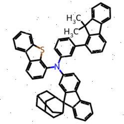 CC1(C)c2ccccc2-c2cccc(-c3cccc(N(c4ccc5c(c4)C4(c6ccccc6-5)C5CC6CC(C5)CC4C6)c4cccc5c4sc4ccccc45)c3)c21